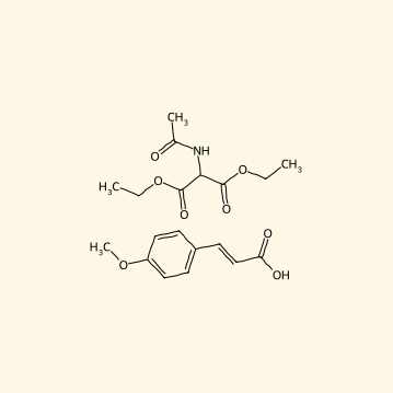 CCOC(=O)C(NC(C)=O)C(=O)OCC.COc1ccc(/C=C/C(=O)O)cc1